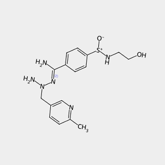 Cc1ccc(CN(N)/N=C(\N)c2ccc([S+]([O-])NCCO)cc2)cn1